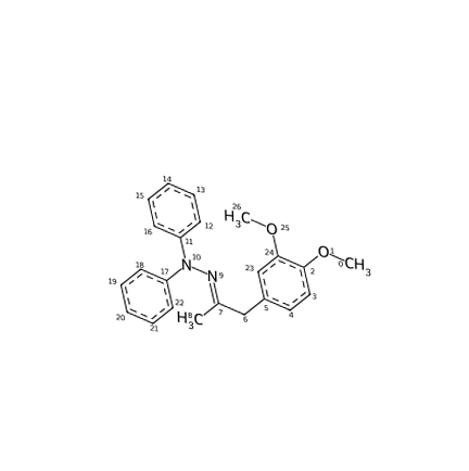 COc1ccc(CC(C)=NN(c2ccccc2)c2ccccc2)cc1OC